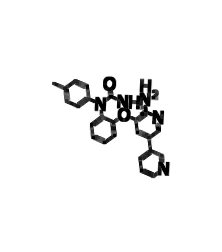 Cc1ccc(N(C(N)=O)c2ccccc2Oc2cc(-c3cccnc3)cnc2N)cc1